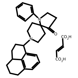 O=C(O)C=CC(=O)O.O=C1CCN(c2ccccc2)C12CCN(C1CCC3CCCc4cccc1c43)CC2